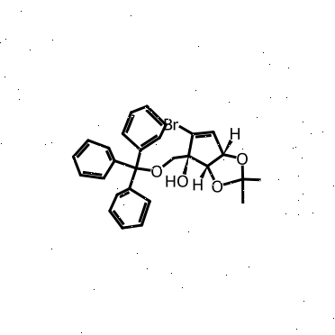 CC1(C)O[C@H]2C=C(Br)[C@@](O)(COC(c3ccccc3)(c3ccccc3)c3ccccc3)[C@H]2O1